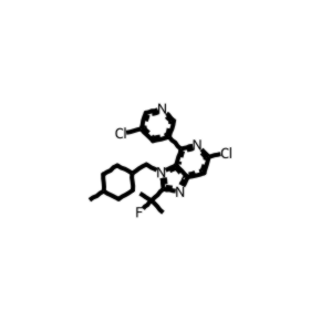 CC1CCC(Cn2c(C(C)(C)F)nc3cc(Cl)nc(-c4cncc(Cl)c4)c32)CC1